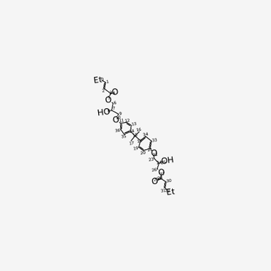 CCC=CC(=O)OCC(O)COc1ccc(C(C)(C)c2ccc(OCC(O)COC(=O)C=CCC)cc2)cc1